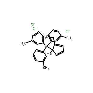 CCC1=CC=C[C]1([Ti+3])[Si](c1cccc(C)c1)(c1cccc(C)c1)c1cccc(C)c1.[Cl-].[Cl-].[Cl-]